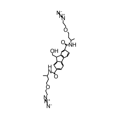 CC(CCOCCN=[N+]=[N-])NC(=O)c1ccc2c(c1)C(CO)c1cc(C(=O)NC(C)CCOCCN=[N+]=[N-])ccc1-2